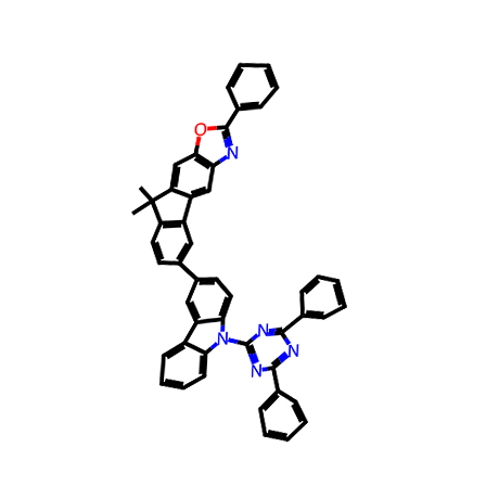 CC1(C)c2ccc(-c3ccc4c(c3)c3ccccc3n4-c3nc(-c4ccccc4)nc(-c4ccccc4)n3)cc2-c2cc3nc(-c4ccccc4)oc3cc21